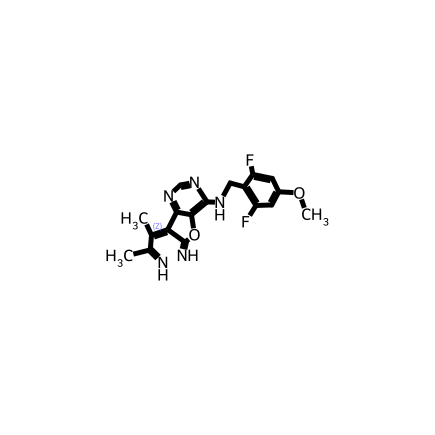 COc1cc(F)c(CNc2ncnc3c2OC(=N)/C3=C(/C)C(C)=N)c(F)c1